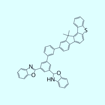 CC1(C)c2cc(-c3cccc(-c4cc(-c5nc6ccccc6o5)cc(C5Nc6ccccc6O5)c4)c3)ccc2-c2ccc3sc4ccccc4c3c21